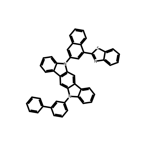 c1ccc(-c2cccc(-n3c4ccccc4c4cc5c(cc43)c3ccccc3n5-c3cc(-c4nc5ccccc5s4)c4ccccc4c3)c2)cc1